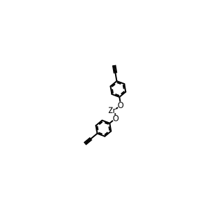 C#Cc1ccc([O][Zr][O]c2ccc(C#C)cc2)cc1